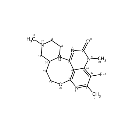 Cc1nc2c3c(nc(=O)n(C)c3c1F)N1CCN(C)CC1CCO2